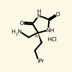 CC(C)CC[C@]1(CN)NC(=O)NC1=O.Cl